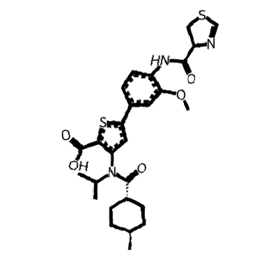 COc1cc(-c2cc(N(C(=O)[C@H]3CC[C@H](C)CC3)C(C)C)c(C(=O)O)s2)ccc1NC(=O)C1CSC=N1